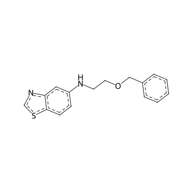 c1ccc(COCCNc2ccc3scnc3c2)cc1